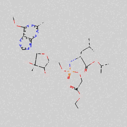 CCOC(=O)[C@@H](C)OP(=O)(N[C@@H](CC(C)C)C(=O)OC(C)C)OC[C@H]1O[C@@H](n2cnc3c(OC)nc(C)nc32)[C@@](C)(O)C1O